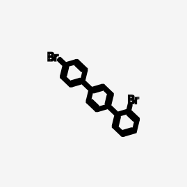 Brc1ccc(-c2ccc(-c3ccccc3Br)cc2)cc1